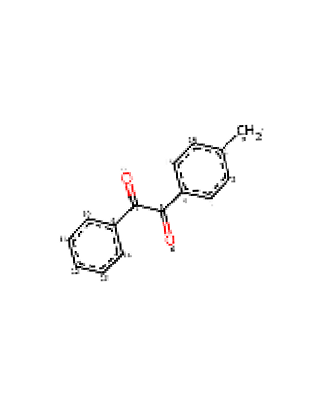 [CH2]c1ccc(C(=O)C(=O)c2ccccc2)cc1